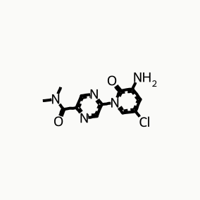 CN(C)C(=O)c1cnc(-n2cc(Cl)cc(N)c2=O)cn1